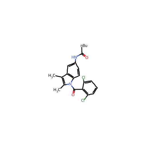 CCCCC(=O)Nc1ccc2c(c1)c(C)c(C)n2C(=O)c1c(Cl)cccc1Cl